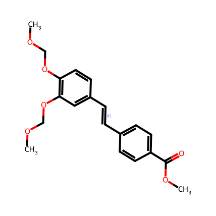 COCOc1ccc(/C=C/c2ccc(C(=O)OC)cc2)cc1OCOC